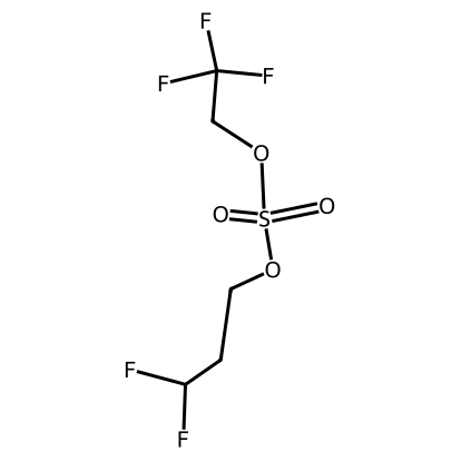 O=S(=O)(OCCC(F)F)OCC(F)(F)F